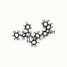 c1ccc(C2=NC(n3c4ccccc4c4cc(-c5ccc6[nH]c7ccc8ccccc8c7c6c5)ccc43)Nc3cc(-c4ccccc4)sc32)cc1